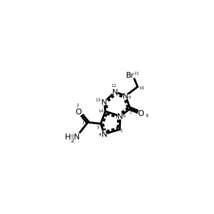 NC(=O)c1ncn2c(=O)n(CBr)nnc12